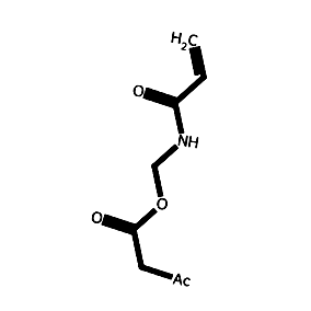 C=CC(=O)NCOC(=O)CC(C)=O